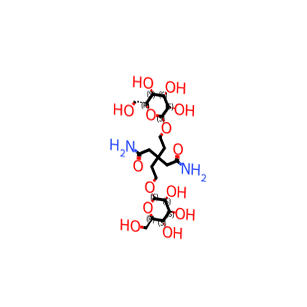 NC(=O)CC(CCO[C@H]1O[C@H](CO)[C@@H](O)[C@H](O)[C@@H]1O)(CCO[C@H]1O[C@H](CO)[C@@H](O)[C@H](O)[C@@H]1O)CC(N)=O